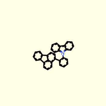 c1ccc2c(c1)-c1cccc3c(-c4ccccc4-n4c5ccccc5c5ccccc54)ccc-2c13